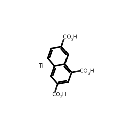 O=C(O)c1cc(C(=O)O)c2cc(C(=O)O)ccc2c1.[Ti]